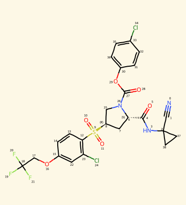 N#CC1(NC(=O)[C@@H]2C[C@@H](S(=O)(=O)c3ccc(OCC(F)(F)F)cc3Cl)CN2C(=O)Oc2ccc(Cl)cc2)CC1